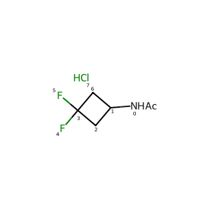 CC(=O)NC1CC(F)(F)C1.Cl